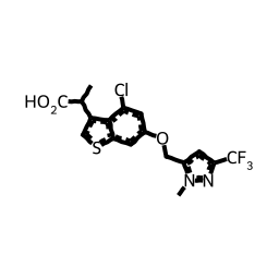 CC(C(=O)O)c1csc2cc(OCc3cc(C(F)(F)F)nn3C)cc(Cl)c12